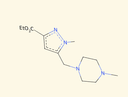 CCOC(=O)c1cc(CN2CCN(C)CC2)n(C)n1